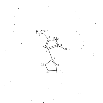 Cn1nc(C(F)(F)F)cc1C1=CCCC1